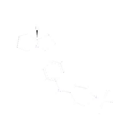 CN(c1ccc([C@H]2CC[C@H]3CCCCN32)cc1)C1CCN(S(C)(=O)=O)CC1